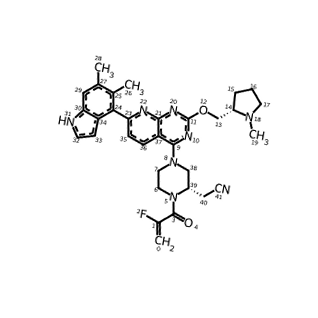 C=C(F)C(=O)N1CCN(c2nc(OC[C@@H]3CCCN3C)nc3nc(-c4c(C)c(C)cc5[nH]ccc45)ccc23)C[C@@H]1CC#N